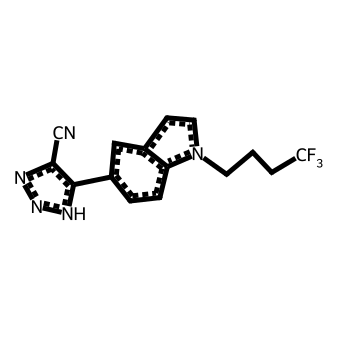 N#Cc1nn[nH]c1-c1ccc2c(ccn2CCCC(F)(F)F)c1